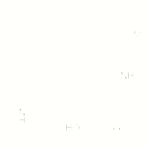 O=C1CCC(C(=O)O)N1.c1ccc2c(c1)CCNCC2